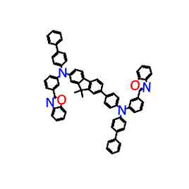 CC1(C)c2cc(-c3ccc(N(c4ccc(-c5ccccc5)cc4)c4cccc(-c5nc6ccccc6o5)c4)cc3)ccc2-c2ccc(N(c3ccc(-c4ccccc4)cc3)c3cccc(-c4nc5ccccc5o4)c3)cc21